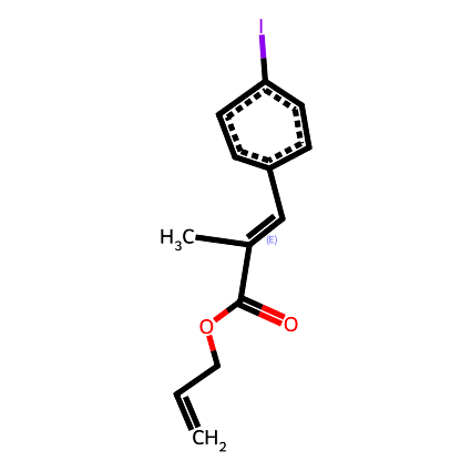 C=CCOC(=O)/C(C)=C/c1ccc(I)cc1